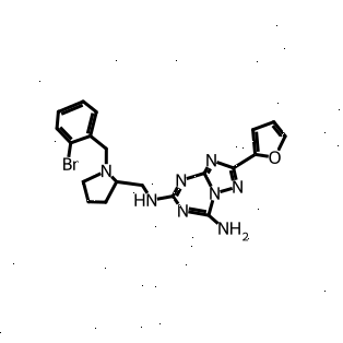 Nc1nc(NCC2CCCN2Cc2ccccc2Br)nc2nc(-c3ccco3)nn12